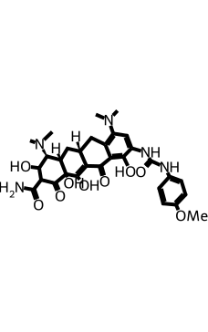 COc1ccc(NC(=O)Nc2cc(N(C)C)c3c(c2O)C(=O)C2=C(O)[C@]4(O)C(=O)C(C(N)=O)C(O)[C@@H](N(C)C)[C@@H]4C[C@@H]2C3)cc1